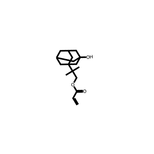 C=CC(=O)OCC(C)(C)C12CC3CC(CC(O)(C3)C1)C2